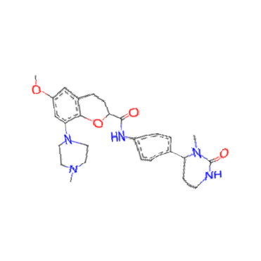 COc1cc2c(c(N3CCN(C)CC3)c1)OC(C(=O)Nc1ccc(C3CCNC(=O)N3C)cc1)CC2